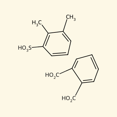 Cc1cccc(S(=O)(=O)O)c1C.O=C(O)c1ccccc1C(=O)O